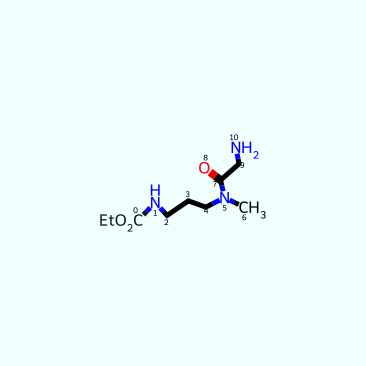 CCOC(=O)NCCCN(C)C(=O)CN